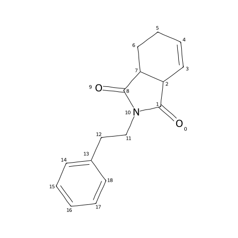 O=C1C2C=CCCC2C(=O)N1CCc1ccccc1